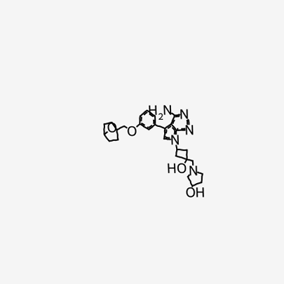 Nc1ncnc2c1c(-c1cccc(OCC34CCC(CC3)O4)c1)cn2C1CC(O)(CN2CC[C@H](O)C2)C1